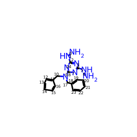 NNc1nc(NN)nc(N(Cc2ccccc2)Cc2ccccc2)n1